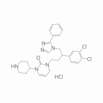 Cl.O=C1N(CCC(Cn2cnnc2-c2ccccc2)c2ccc(Cl)c(Cl)c2)CC=CN1C1CCNCC1